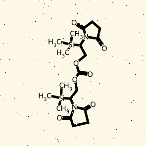 C[Si](C)(C)C(COC(=O)OCC(N1C(=O)CCC1=O)[Si](C)(C)C)N1C(=O)CCC1=O